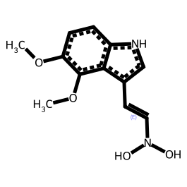 COc1ccc2[nH]cc(/C=C/N(O)O)c2c1OC